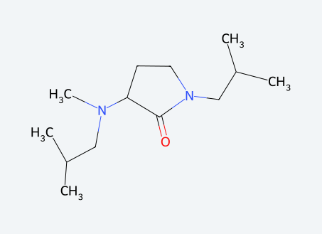 CC(C)CN1CCC(N(C)CC(C)C)C1=O